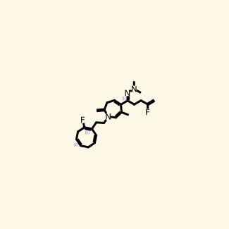 C=C(F)CC/C(=N\N(C)C)C1=CCC(=C)N(CC/C2=C(\F)C/C=C\CC=C2)C=C1C